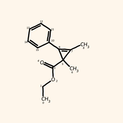 CCOC(=O)C1(C)C(C)=C1c1ccccc1